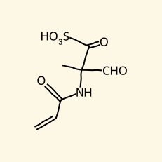 C=CC(=O)NC(C)(C=O)C(=O)S(=O)(=O)O